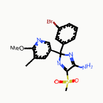 COc1ncc(C2(c3cccc(Br)c3)N=C(N)C(S(C)(=O)=O)=N2)cc1C